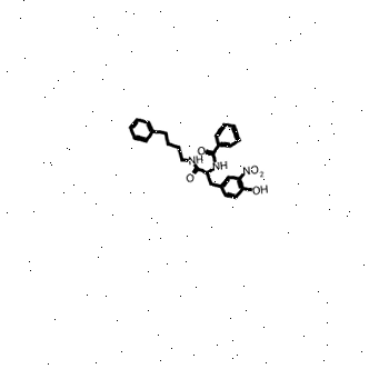 O=C(NC(Cc1ccc(O)c([N+](=O)[O-])c1)C(=O)NCCCCc1ccccc1)c1ccccc1